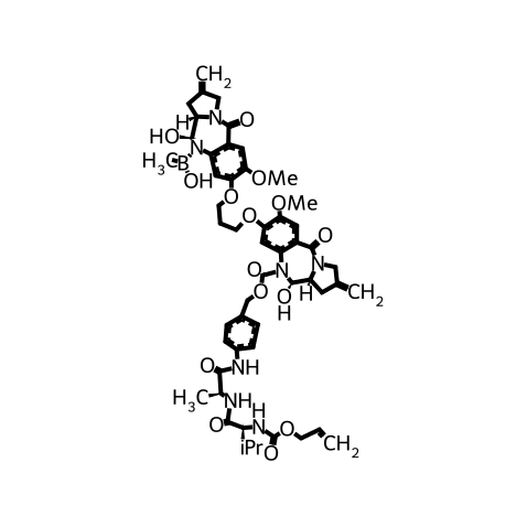 C=CCOC(=O)N[C@H](C(=O)N[C@@H](C)C(=O)Nc1ccc(COC(=O)N2c3cc(OCCCOc4cc5c(cc4OC)C(=O)N4CC(=C)C[C@H]4[C@H](O)N5B(C)O)c(OC)cc3C(=O)N3CC(=C)C[C@H]3[C@@H]2O)cc1)C(C)C